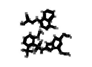 COc1cc(OC)n2nc(NS(=O)(=O)c3c(C(F)(F)F)ccnc3OC)nc2n1.O=C(O)COc1ccc(Cl)c2cccnc12